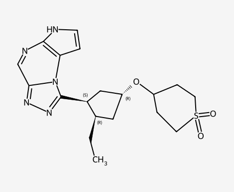 CC[C@@H]1C[C@@H](OC2CCS(=O)(=O)CC2)C[C@@H]1c1nnc2cnc3[nH]ccc3n12